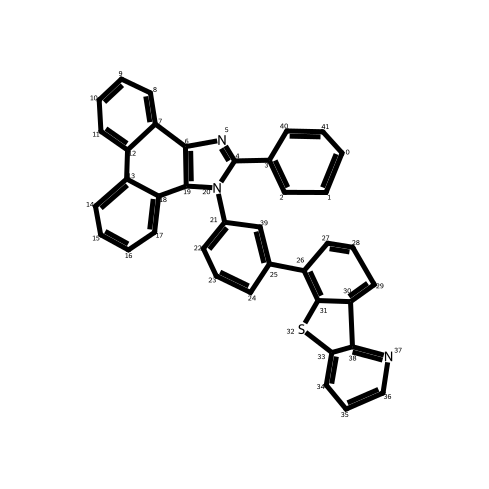 c1ccc(-c2nc3c4ccccc4c4ccccc4c3n2-c2cccc(-c3cccc4c3sc3cccnc34)c2)cc1